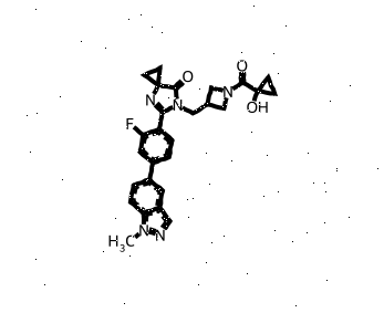 Cn1ncc2cc(-c3ccc(C4=NC5(CC5)C(=O)N4CC4CN(C(=O)C5(O)CC5)C4)c(F)c3)ccc21